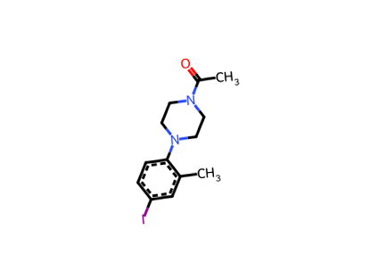 CC(=O)N1CCN(c2ccc(I)cc2C)CC1